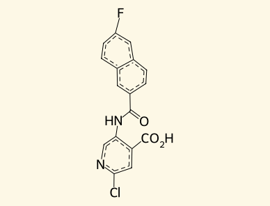 O=C(Nc1cnc(Cl)cc1C(=O)O)c1ccc2cc(F)ccc2c1